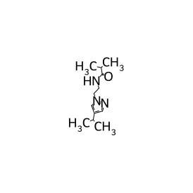 CC(C)C(=O)NCCn1cc(C(C)C)cn1